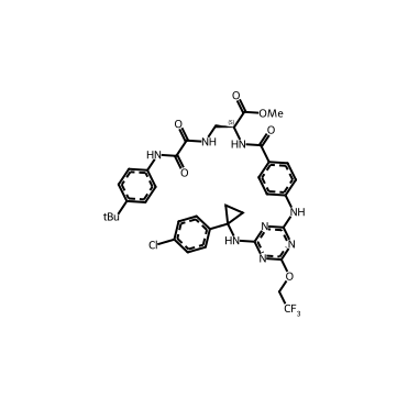 COC(=O)[C@H](CNC(=O)C(=O)Nc1ccc(C(C)(C)C)cc1)NC(=O)c1ccc(Nc2nc(NC3(c4ccc(Cl)cc4)CC3)nc(OCC(F)(F)F)n2)cc1